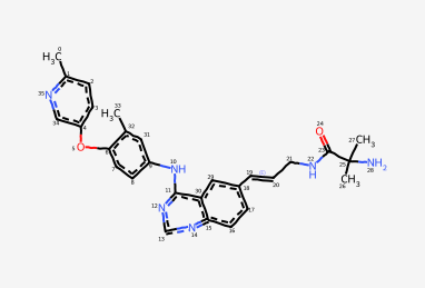 Cc1ccc(Oc2ccc(Nc3ncnc4ccc(/C=C/CNC(=O)C(C)(C)N)cc34)cc2C)cn1